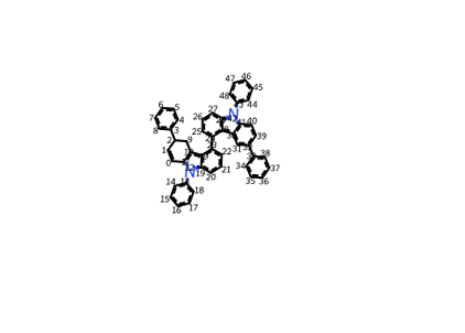 C1=CC(c2ccccc2)Cc2c1n(-c1ccccc1)c1cccc(-c3cccc4c3c3cc(-c5ccccc5)ccc3n4-c3ccccc3)c21